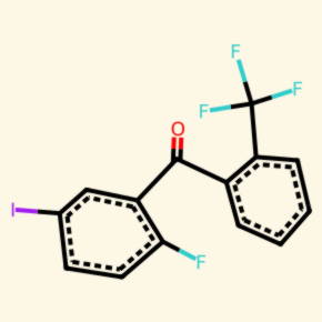 O=C(c1cc(I)ccc1F)c1ccccc1C(F)(F)F